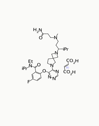 CCN(C(=O)c1cc(F)ccc1Oc1nncnc1N1CCC2(C1)CN(C(CCN(C)CCC(N)=O)C(C)C)C2)C(C)C.O=C(O)/C=C/C(=O)O